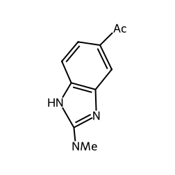 CNc1nc2cc(C(C)=O)ccc2[nH]1